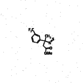 COC(=O)CC(C)(N=S)c1cccc(C(F)(F)F)c1